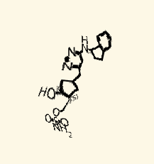 NS(=O)(=O)OC[C@@H]1CC(Cc2cc(N[C@H]3CCc4ccccc43)ncn2)C[C@@H]1O